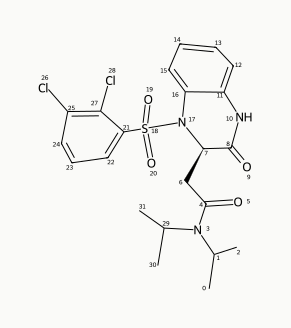 CC(C)N(C(=O)C[C@@H]1C(=O)Nc2ccccc2N1S(=O)(=O)c1cccc(Cl)c1Cl)C(C)C